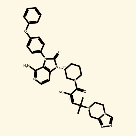 CC(C)(/C=C(/C#N)C(=O)N1CCC[C@@H](n2c(=O)n(-c3ccc(Oc4ccccc4)cc3)c3c(N)nccc32)C1)N1CCn2cnnc2C1